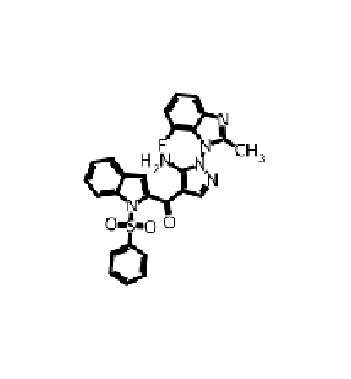 Cc1nc2cccc(F)c2n1-n1ncc(C(=O)c2cc3ccccc3n2S(=O)(=O)c2ccccc2)c1N